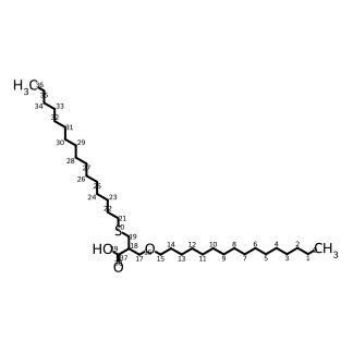 CCCCCCCCCCCCCCCCOCC(CSCCCCCCCCCCCCCCCC)C(=O)O